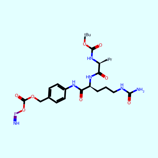 CC(C)[C@H](NC(=O)OC(C)(C)C)C(=O)N[C@@H](CCCNC(N)=O)C(=O)Nc1ccc(COC(=O)OP=N)cc1